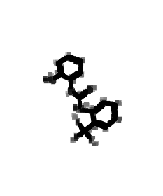 Oc1ccccc1OC(=S)Nc1ccccc1C(F)(F)F